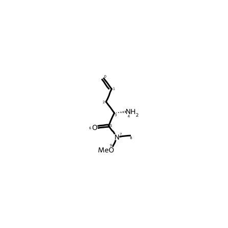 C=CC[C@H](N)C(=O)N(C)OC